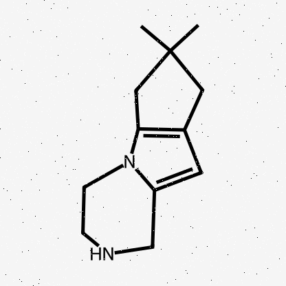 CC1(C)Cc2cc3n(c2C1)CCNC3